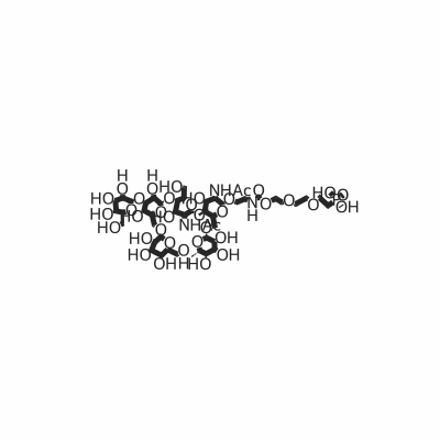 CC(=O)NC1[C@H](OCCNC(=O)OCCOCCOCCP(=O)(O)O)OC(CO[C@H]2O[C@@H](C)[C@@H](O)C(O)C2O)[C@@H](O[C@@H]2OC(CO)[C@@H](O[C@@H]3OC(CO[C@H]4OC(CO)[C@@H](O)[C@H](O)C4O)[C@@H](O)[C@H](O[C@H]4O[C@@H](CO)[C@@H](O)C(O)C4O)C3O)[C@H](O)C2NC(C)=O)[C@@H]1O